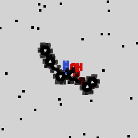 O=C(O)c1[nH]c2c(CCc3ccc(-c4ccccc4)cc3)cccc2c1CCCOc1cccc2ccccc12